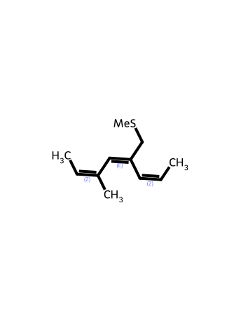 C\C=C/C(=C\C(C)=C/C)CSC